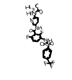 CC(=O)Nc1ccc(NC(=O)c2c(F)ccc(NS(=O)(=O)c3ccc(C(F)(F)F)cc3)c2F)cn1